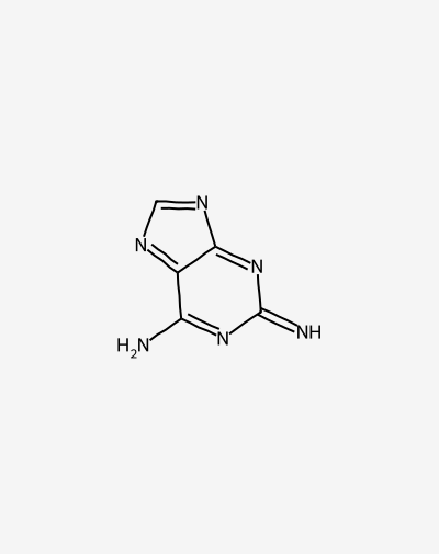 N=C1N=C(N)C2=NC=NC2=N1